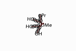 CCCOCCOCCOCCOCCN(CCOCCOCCOCCOCCO)c1ccc(C(OC)(c2ccccc2)c2ccc(N(CCOCCOCCOCCOCCO)CCOCCOCCOCCOCCO)cc2)cc1